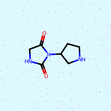 O=C1CNC(=O)N1C1CCNC1